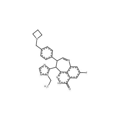 CCn1ncnc1C1c2n[nH]c(=O)c3cc(F)cc(c23)N=CC1c1ccc(CN2CCC2)cc1